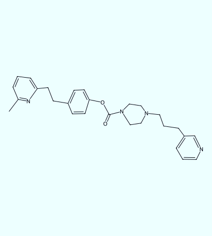 Cc1cccc(CCc2ccc(OC(=O)N3CCN(CCCc4cccnc4)CC3)cc2)n1